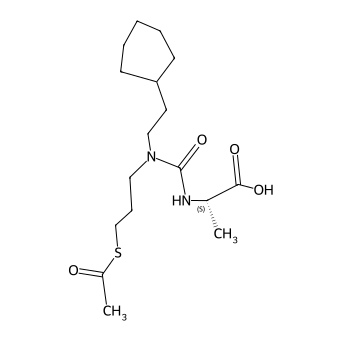 CC(=O)SCCCN(CCC1CCCCC1)C(=O)N[C@@H](C)C(=O)O